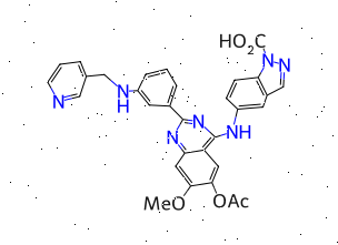 COc1cc2nc(-c3cccc(NCc4cccnc4)c3)nc(Nc3ccc4c(cnn4C(=O)O)c3)c2cc1OC(C)=O